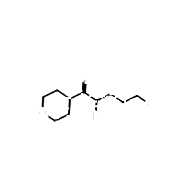 O=C(C(Br)CCCCl)C1CCOCC1